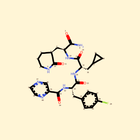 NC(=O)[C@H](C[C@@H]1CCCNC1=O)NC(=O)[C@H](CC1CC1)NC(=O)[C@H](Cc1ccc(F)cc1)NC(=O)c1cnccn1